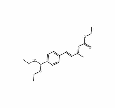 CCOC(=O)C=C(C)C=Cc1ccc(C(OCC)OCC)cc1